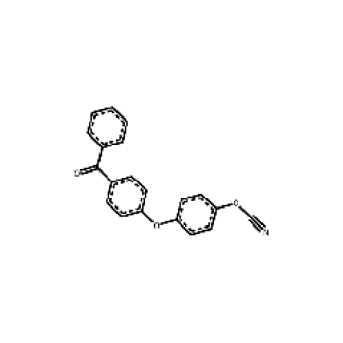 N#COc1ccc(Oc2ccc(C(=O)c3ccccc3)cc2)cc1